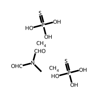 C.C.CN(C=O)C=O.OP(O)(O)=S.OP(O)(O)=S